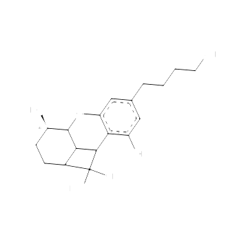 CCCCCc1cc(O)c2c(c1)OC1C3C(CC[C@H]1C)C(C)(C)C23